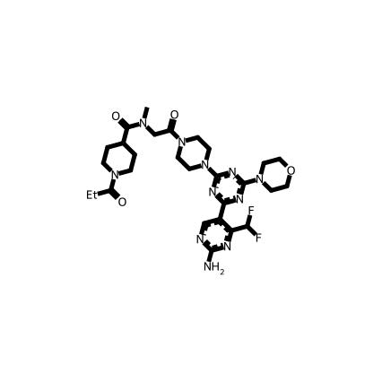 CCC(=O)N1CCC(C(=O)N(C)CC(=O)N2CCN(c3nc(-c4cnc(N)nc4C(F)F)nc(N4CCOCC4)n3)CC2)CC1